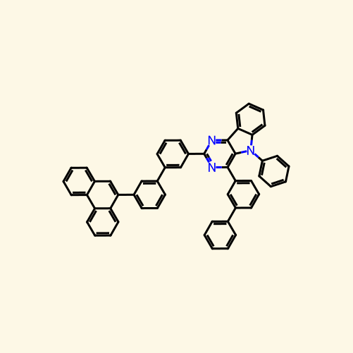 c1ccc(-c2cccc(-c3nc(-c4cccc(-c5cccc(-c6cc7ccccc7c7ccccc67)c5)c4)nc4c5ccccc5n(-c5ccccc5)c34)c2)cc1